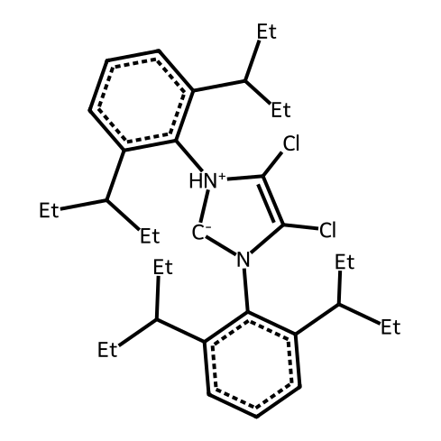 CCC(CC)c1cccc(C(CC)CC)c1N1[CH-][NH+](c2c(C(CC)CC)cccc2C(CC)CC)C(Cl)=C1Cl